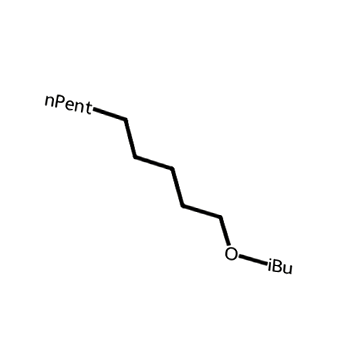 [CH2]CC(C)OCCCCCCCCCC